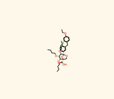 CCCCO[C@@H]1[C@@H](OCCCC)[C@@]2(c3ccc(Cl)c(Cc4ccc(OCC)cc4)c3)OC[C@](C(=O)O)(O2)[C@H]1OCCCC